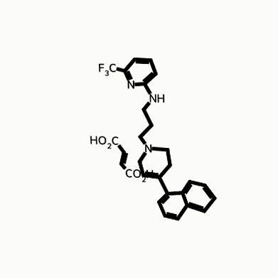 FC(F)(F)c1cccc(NCCCN2CC=C(c3cccc4ccccc34)CC2)n1.O=C(O)/C=C/C(=O)O